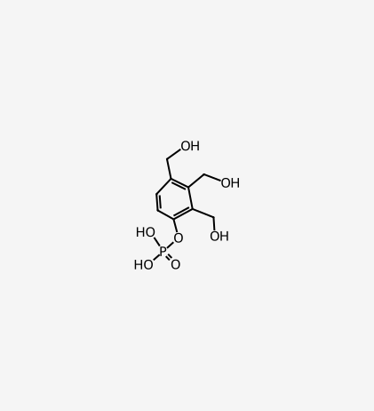 O=P(O)(O)Oc1ccc(CO)c(CO)c1CO